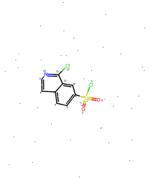 O=S(=O)(Cl)c1ccc2ccnc(Cl)c2c1